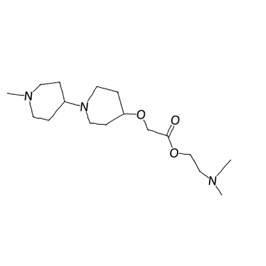 CN(C)CCOC(=O)COC1CCN(C2CCN(C)CC2)CC1